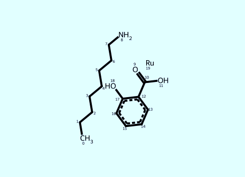 CCCCCCCCN.O=C(O)c1ccccc1O.[Ru]